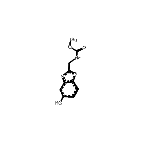 CC(C)(C)OC(=O)NCc1nc2cc(O)ccc2s1